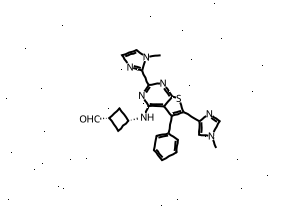 Cn1cnc(-c2sc3nc(-c4nccn4C)nc(N[C@H]4C[C@@H](C=O)C4)c3c2-c2ccccc2)c1